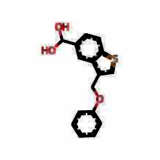 OC(O)c1ccc2scc(COc3ccccc3)c2c1